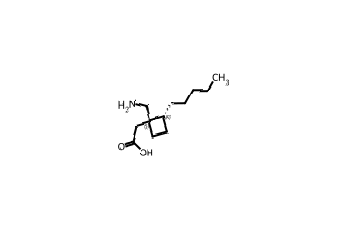 CCCCC[C@@H]1CC[C@]1(CN)CC(=O)O